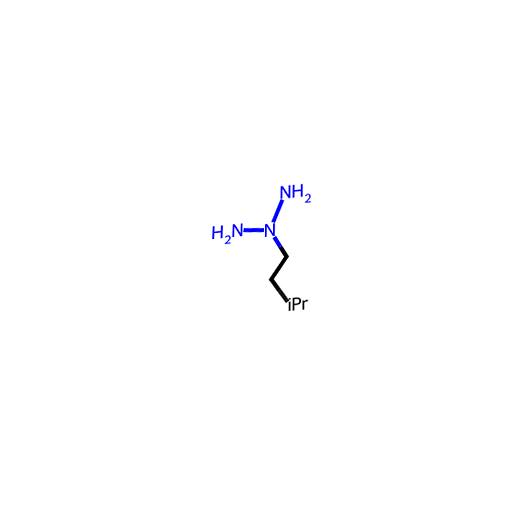 CC(C)CCN(N)N